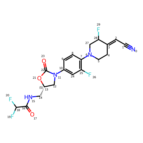 N#CC=C1CCN(c2ccc(N3C[C@H](CNC(=O)C(F)F)OC3=O)cc2F)CC1F